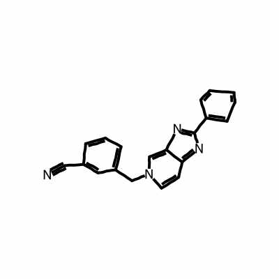 N#Cc1cccc(Cn2ccc3nc(-c4ccccc4)nc-3c2)c1